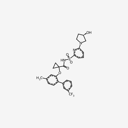 Cc1ccc(-c2cccc(C(F)(F)F)c2)c(OC2(C(=O)NS(=O)(=O)c3cccc(N4CC[C@@H](O)C4)n3)CC2)c1